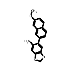 COc1ccc2ccc(-c3cc4c(cc3N)OCO4)cc2c1